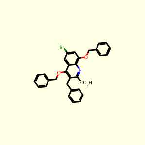 O=C(O)c1nc2c(OCc3ccccc3)cc(Br)cc2c(OCc2ccccc2)c1Cc1ccccc1